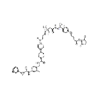 C/C(=N\NC(=O)CC(C)(C)SSCCC(=O)N1CCN(C2CCN(C(=O)NCc3ccc(NC(=O)C4CC4c4cccnc4)cc3F)CC2)CC1)c1ccc(OCCCC(=O)ON2C(=O)CCC2=O)cc1